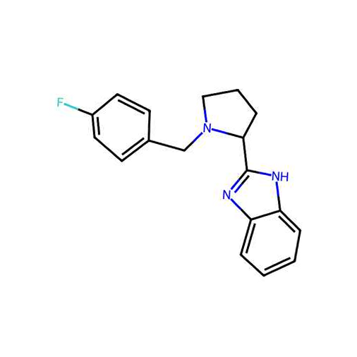 Fc1ccc(CN2CCCC2c2nc3ccccc3[nH]2)cc1